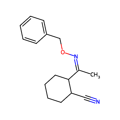 CC(=NOCc1ccccc1)C1CCCCC1C#N